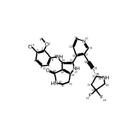 COc1c(Cl)cccc1Nc1c(-c2ccncc2C#C[C@H]2CC(F)(F)CN2)[nH]c2c1C(=O)NCC2